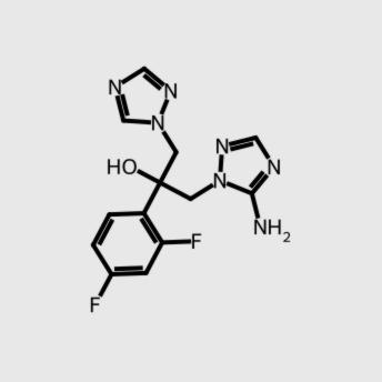 Nc1ncnn1CC(O)(Cn1cncn1)c1ccc(F)cc1F